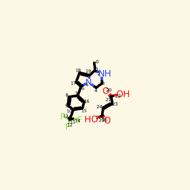 CC1NCCn2c(-c3ccc(C(F)(F)F)cc3)ccc21.O=C(O)/C=C/C(=O)O